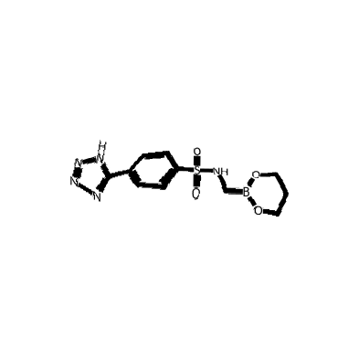 O=S(=O)(NCB1OCCCO1)c1ccc(-c2nnn[nH]2)cc1